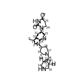 Cc1cn(C2CCN(CC3[C@@H]4CC[C@H]3CNC4)CC2)c2ncc(N3CCC(=O)NC3=O)cc12